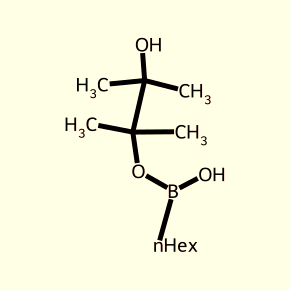 CCCCCCB(O)OC(C)(C)C(C)(C)O